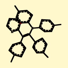 Cc1ccc(B(/C(=C(/c2ccc(C)cc2)c2ccccn2)c2ccc(C)cc2)c2ccc(C)cc2)cc1